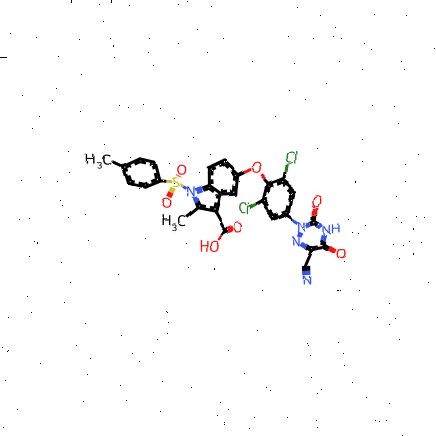 Cc1ccc(S(=O)(=O)n2c(C)c(C(=O)O)c3cc(Oc4c(Cl)cc(-n5nc(C#N)c(=O)[nH]c5=O)cc4Cl)ccc32)cc1